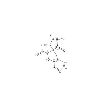 COC(=O)C(C)(N(C=O)Oc1ccccc1)[PH](=O)OC